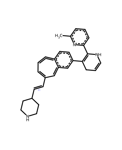 Cc1cccc(C2=C(c3ccc4c(c3)=CC(/C=C/C3CCNCC3)=CC=C=4)CC=CN2)n1